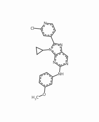 COc1cccc(Nc2ncc3nc(-c4ccnc(Cl)c4)n(C4CC4)c3n2)c1